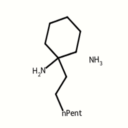 CCCCCCCC1(N)CCCCC1.N